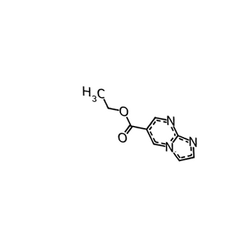 CCOC(=O)c1cnc2nccn2c1